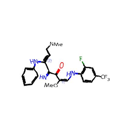 CNC/C=C(\Nc1ccccc1)C(=N)C(=O)/C(=C\Nc1ccc(C(F)(F)F)cc1F)OC